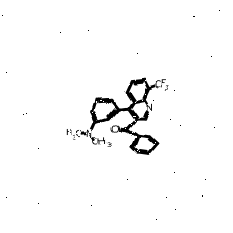 CN(C)c1cccc(-c2c(C(=O)c3ccccc3)cnc3c(C(F)(F)F)cccc23)c1